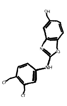 Oc1ccc2oc(Nc3ccc(Cl)c(Cl)c3)nc2c1